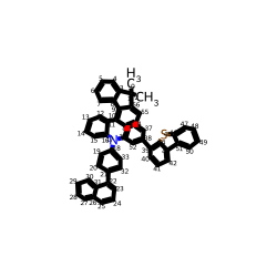 CC1(C)c2ccccc2-c2c(-c3ccccc3N(c3ccc(-c4cccc5ccccc45)cc3)c3cccc(-c4cccc5c4sc4ccccc45)c3)cccc21